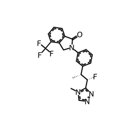 C[C@H](c1cccc(N2Cc3c(cccc3C(F)(F)F)C2=O)c1)[C@H](F)c1nncn1C